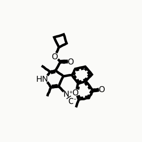 [C-]#[N+]C1=C(C)NC(C)=C(C(=O)OC2CCC2)C1c1cccc2c(=O)cc(C)oc12